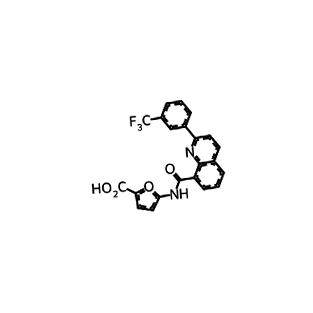 O=C(O)c1ccc(NC(=O)c2cccc3ccc(-c4cccc(C(F)(F)F)c4)nc23)o1